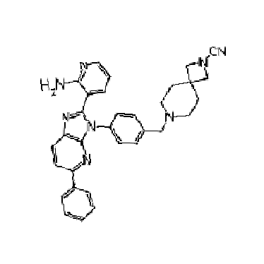 N#CN1CC2(CCN(Cc3ccc(-n4c(-c5cccnc5N)nc5ccc(-c6ccccc6)nc54)cc3)CC2)C1